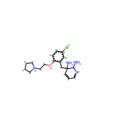 NC1N=CC=CC1(N)Cc1cc(Br)ccc1OCCN1CCCC1